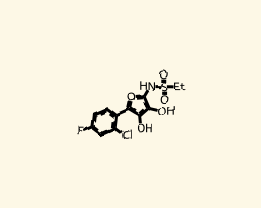 CCS(=O)(=O)Nc1oc(-c2ccc(F)cc2Cl)c(O)c1O